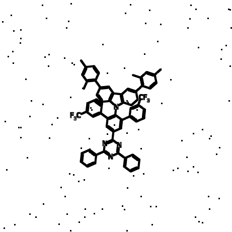 Cc1ccc(C2=Cc3c(n(-c4c(-c5c#ccc(C(F)(F)F)c5)cc(-c5nc(-c6ccccc6)nc(-c6ccccc6)n5)cc4-c4cccc(C(F)(F)F)c4)c4ccc(-c5ccc(C)cc5C)cc34)CC2)c(C)c1